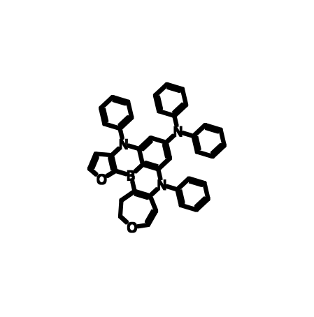 C1=CC2=C(CCO1)B1c3occc3N(c3ccccc3)c3cc(N(c4ccccc4)c4ccccc4)cc(c31)N2c1ccccc1